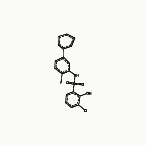 O=S(=O)(Nc1cc(-c2ccccc2)ccc1F)c1cccc(Cl)c1O